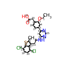 CCOc1cc(-c2cc(NCCc3c(C)sc4c(Cl)ccc(Cl)c34)ncn2)ccc1CC(=O)O